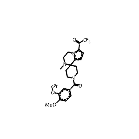 CCCOc1cc(C(=O)N2CCC3(CC2)c2ccc(C(=O)C(F)(F)F)n2CCN3C)ccc1OC